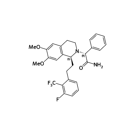 COc1cc2c(cc1OC)[C@H](CCc1cccc(F)c1C(F)(F)F)N([C@@H](C(N)=O)c1ccccc1)CC2